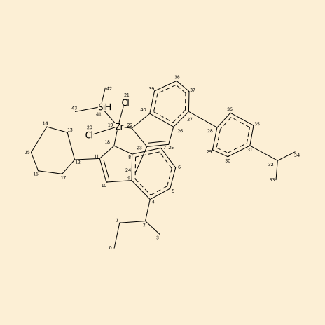 CCC(C)c1cccc2c1C=C(C1CCCCC1)[CH]2[Zr]([Cl])([Cl])([CH]1C(C)=Cc2c(-c3ccc(C(C)C)cc3)cccc21)[SiH](C)C